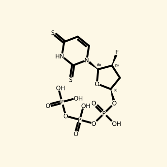 O=P(O)(O)OP(=O)(O)OP(=O)(O)O[C@@H]1C[C@H](F)[C@H](n2ccc(=S)[nH]c2=S)O1